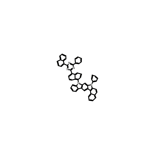 c1ccc(-c2nc(-c3cccc4ccccc34)nc(-c3cccc4c(-n5c6ccccc6c6cc7c8c9ccccc9ccc8n(-c8ccccc8)c7cc65)cccc34)n2)cc1